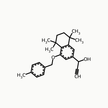 C#CC(O)c1cc(OCc2ccc(C)cc2)c2c(c1)C(C)(C)CCC2(C)C